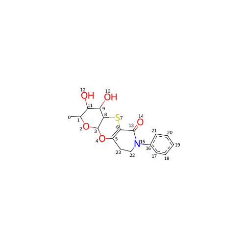 CC1OC2OC3=C(SC2C(O)C1O)C(=O)N(c1ccccc1)CC3